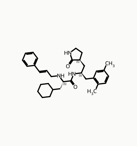 Cc1ccc(C)c(C[C@H](C[C@@H]2CCNC2=O)NC(=O)[C@H](CC2CCCCC2)NCC=Cc2ccccc2)c1